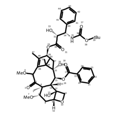 COC1C(=O)[C@]2(C)[C@@H](OC)C[C@H]3OC[C@@]3(O)[C@H]2[C@H](OC(=O)c2ccccc2)[C@]2(O)C[C@H](OC(=O)[C@H](O)[C@@H](NC(=O)OC(C)(C)C)c3ccccc3)C(C)=C1C2(C)C